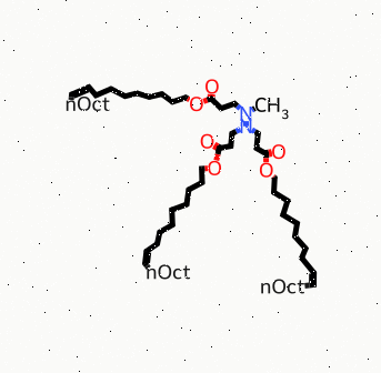 CCCCCCCC/C=C\CCCCCCCCOC(=O)CCN(C)N(CCC(=O)OCCCCCCCC/C=C\CCCCCCCC)CCC(=O)OCCCCCCCC/C=C\CCCCCCCC